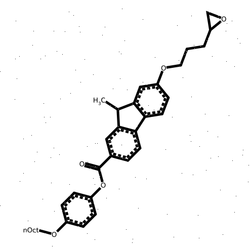 CCCCCCCCOc1ccc(OC(=O)c2ccc3c(c2)C(C)c2cc(OCCCC4CO4)ccc2-3)cc1